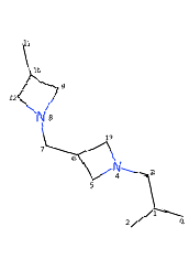 CC(C)CN1CC(CN2CC(C)C2)C1